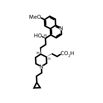 COc1ccc2nccc([C@H](O)CC[C@@H]3CCN(CCC4CC4)C[C@H]3CCC(=O)O)c2c1